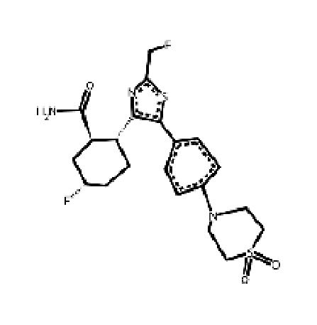 NC(=O)[C@@H]1C[C@@H](F)CC[C@H]1c1nc(CF)sc1-c1ccc(N2CCS(=O)(=O)CC2)cc1